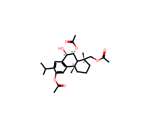 CC(=O)OC[C@]1(C)CCC[C@]2(C)c3cc(OC(C)=O)c(C(C)C)cc3[C@@H](O)[C@H](OC(C)=O)C12